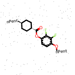 CCCCCOc1ccc(OC(=O)[C@H]2CC[C@H](CCCCC)CC2)c(F)c1F